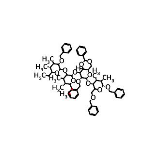 CCC1O[C@H](O[C@@H]2C(OCc3ccccc3)[C@H](O[C@@H]3C(COCc4ccccc4)O[C@@H](OCc4ccccc4)C(C)[C@@H]3C)OC3COC(c4ccccc4)O[C@H]32)C(O[C@H]2OC(CC)[C@@H](C)C(C)C2OCc2ccccc2)C(C)[C@@H]1C